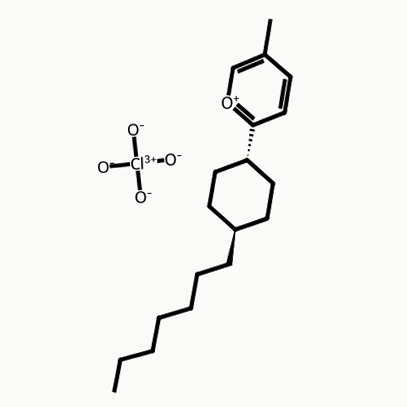 CCCCCCC[C@H]1CC[C@H](c2ccc(C)c[o+]2)CC1.[O-][Cl+3]([O-])([O-])[O-]